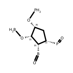 BO[C@H]1[C@@H](B=O)[C@@H](P=O)C[C@H]1OP